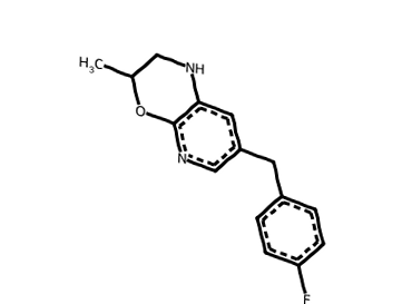 CC1CNc2cc(Cc3ccc(F)cc3)cnc2O1